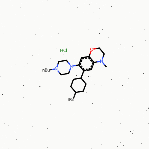 CCCCN1CCN(c2cc3c(cc2C2CCC(C(C)(C)C)CC2)N(C)CCO3)CC1.Cl